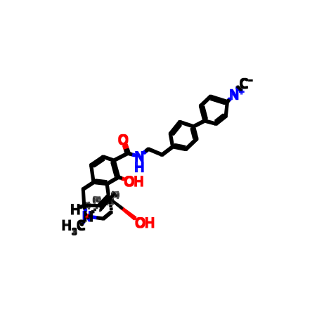 [C-]#[N+]c1ccc(-c2ccc(CCNC(=O)c3ccc4c(c3O)[C@]35CCN(C)[C@H](C4)[C@@H]3C=C[C@H](O)C5)cc2)cc1